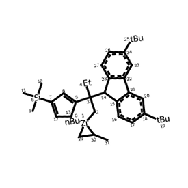 CCC[CH2][Zr]1([CH2]C(CC)(C2=CC([Si](C)(C)C)=CC2)C2c3ccc(C(C)(C)C)cc3-c3cc(C(C)(C)C)ccc32)[CH2][CH]1C